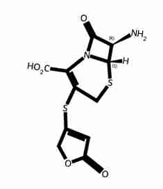 N[C@@H]1C(=O)N2C(C(=O)O)=C(SC3=CC(=O)OC3)CS[C@@H]12